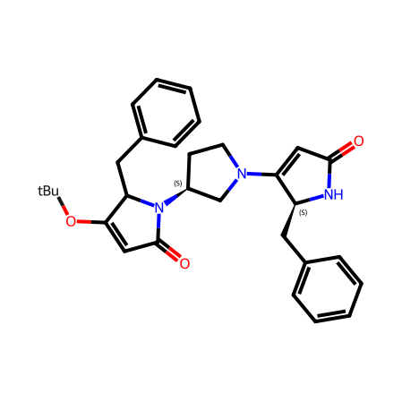 CC(C)(C)OC1=CC(=O)N([C@H]2CCN(C3=CC(=O)N[C@H]3Cc3ccccc3)C2)C1Cc1ccccc1